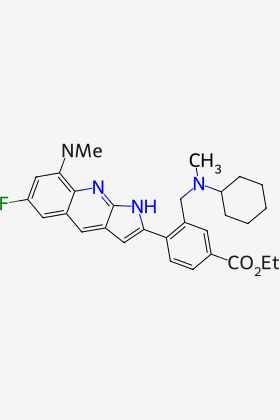 CCOC(=O)c1ccc(-c2cc3cc4cc(F)cc(NC)c4nc3[nH]2)c(CN(C)C2CCCCC2)c1